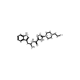 CCCC(Cc1c[nH]c2ccccc12)NC(=O)c1nnc(N2CCN(CCF)CC2)[nH]1